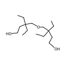 CCC(CC)(CCO)COCC(CC)(CC)CCO